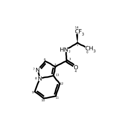 C[C@@H](NC(=O)c1cnn2ccccc12)C(F)(F)F